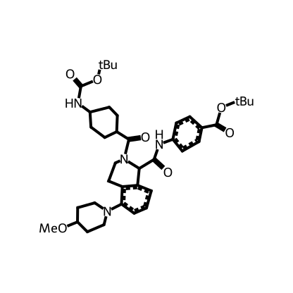 COC1CCN(c2cccc3c2CCN(C(=O)C2CCC(NC(=O)OC(C)(C)C)CC2)C3C(=O)Nc2ccc(C(=O)OC(C)(C)C)cc2)CC1